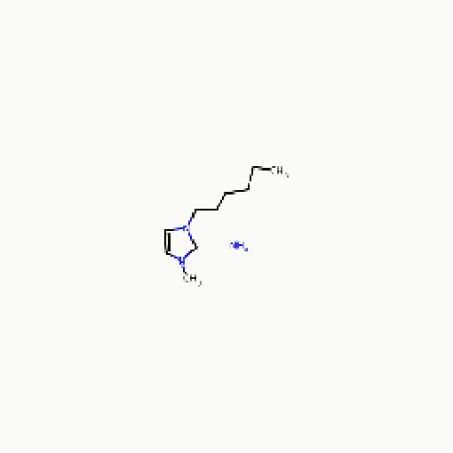 CCCCCCN1C=CN(C)C1.N